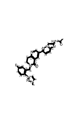 CC(=O)Nc1cn2nc(-c3cnc4c(c3)C(=O)N(Cc3cc(F)ccc3-[n+]3ccn(C)n3)CC4)ccc2n1